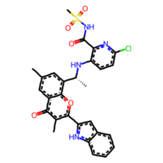 Cc1cc([C@@H](C)Nc2ccc(Cl)nc2C(=O)NS(C)(=O)=O)c2oc(-c3cc4ccccc4[nH]3)c(C)c(=O)c2c1